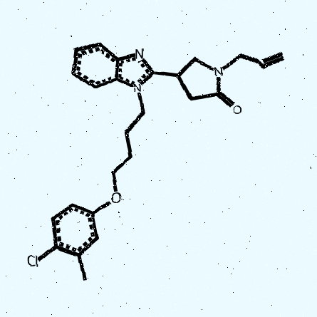 C=CCN1CC(c2nc3ccccc3n2CCCCOc2ccc(Cl)c(C)c2)CC1=O